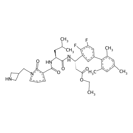 CCOC(=O)C[C@H](NC(=O)[C@H](CC(C)C)NC(=O)c1cccn(CC2CNC2)c1=O)c1cc(-c2c(C)cc(C)cc2C)cc(F)c1F